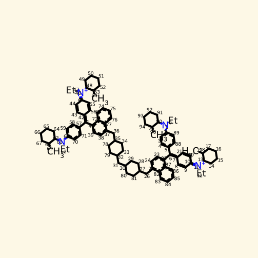 CCN(c1ccc(C(=C2C=CC(=[N+](CC)C3CCCCC3C)C=C2)c2ccc(CC3CCC(CC4CCC(Cc5ccc(C(=C6C=CC(=[N+](CC)C7CCCCC7C)C=C6)c6ccc(N(CC)C7CCCCC7C)cc6)c6ccccc56)CC4)CC3)c3ccccc23)cc1)C1CCCCC1C